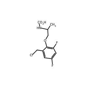 CC(COc1c(F)cc(F)cc1CCl)NC(=O)O